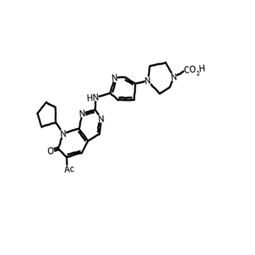 CC(=O)c1cc2cnc(Nc3ccc(N4CCN(C(=O)O)CC4)cn3)nc2n(C2CCCC2)c1=O